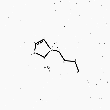 Br.CCCCN1C=CSC1